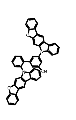 N#Cc1cc(-c2ccccc2-n2c3ccccc3c3cc4c(cc32)oc2ccccc24)cc(-n2c3ccccc3c3cc4c(cc32)oc2ccccc24)c1